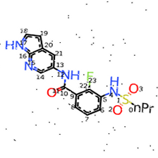 CCCS(=O)(=O)Nc1cccc(C(=O)Nc2cnc3[nH]ccc3c2)c1F